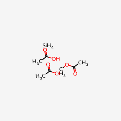 CC(=O)O.CC(=O)O.COC(C)=O.[SiH4]